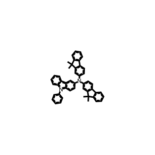 CC1(C)c2ccccc2-c2ccc(N(c3ccc4c(c3)C(C)(C)c3ccccc3-4)c3ccc4c(c3)c3ccccc3n4-c3ccccc3)cc21